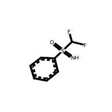 N=S(=O)(c1ccccc1)C(F)F